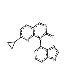 O=c1ncc2ccc(C3CC3)nc2n1-c1cccc2ncsc12